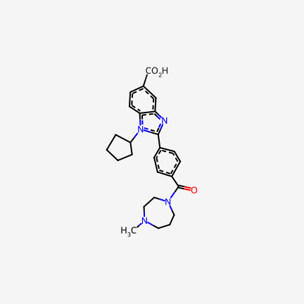 CN1CCCN(C(=O)c2ccc(-c3nc4cc(C(=O)O)ccc4n3C3CCCC3)cc2)CC1